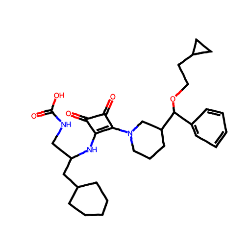 O=C(O)NCC(CC1CCCCC1)Nc1c(N2CCCC(C(OCCC3CC3)c3ccccc3)C2)c(=O)c1=O